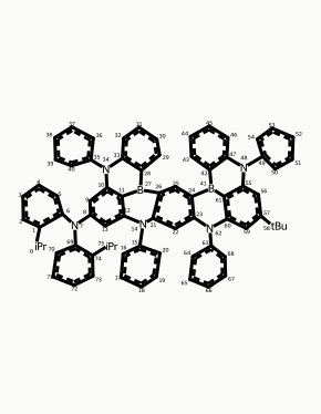 CC(C)c1ccccc1N(c1cc2c3c(c1)N(c1ccccc1)c1cc4c(cc1B3c1ccccc1N2c1ccccc1)B1c2ccccc2N(c2ccccc2)c2cc(C(C)(C)C)cc(c21)N4c1ccccc1)c1ccccc1C(C)C